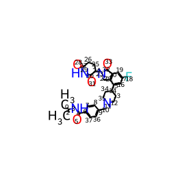 CC(C)NC(=O)c1ccc(CN2CCC(c3cc(F)cc4c3CN(C3CCC(=O)NC3=O)C4=O)CC2)cc1